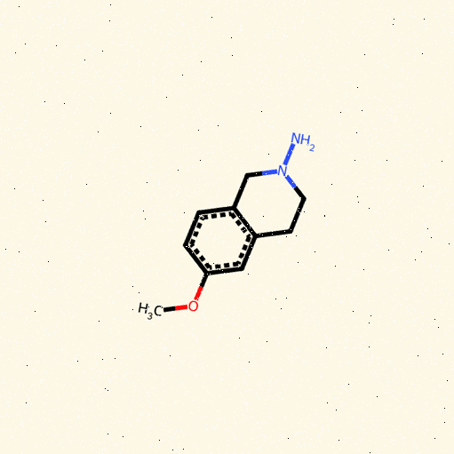 COc1ccc2c(c1)CCN(N)C2